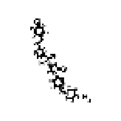 CC1CCN(Cc2ccc(N3CC(NC(=O)c4nnc(CCc5ccc(Cl)cc5)s4)CC3=O)cc2)CC1